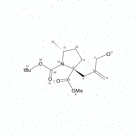 C=C(CCl)C[C@]1(C(=O)OC)CC[C@@H](C)N1C(=O)OC(C)(C)C